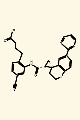 N#Cc1ccc(CCCC(=O)O)c(NC(=O)[C@@H]2C[C@]23CCOc2ccc(-c4ncccn4)cc23)c1